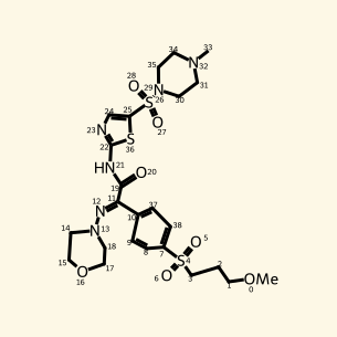 COCCCS(=O)(=O)c1ccc(/C(=N\N2CCOCC2)C(=O)Nc2ncc(S(=O)(=O)N3CCN(C)CC3)s2)cc1